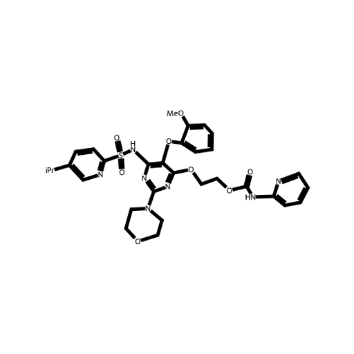 COc1ccccc1Oc1c(NS(=O)(=O)c2ccc(C(C)C)cn2)nc(N2CCOCC2)nc1OCCOC(=O)Nc1ccccn1